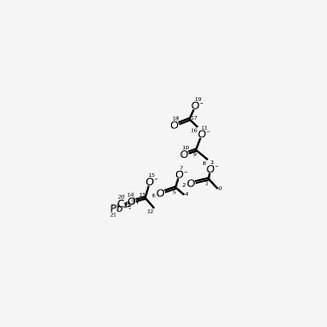 CC(=O)[O-].CC(=O)[O-].CC(=O)[O-].CC(=O)[O-].CC(=O)[O-].[Ce+3].[Pb+2]